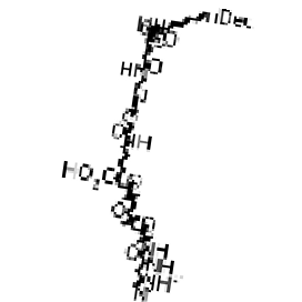 CCCCCCCCCCCCCCCC(=O)NS(=O)(=O)CCCC(=O)NCCOCCOCC(=O)NCCCC[C@H](CC(=O)C(C)(C)CC(=O)C(C)(C)CC(=O)C(C)(C)NC(=O)[C@@H](N)Cc1cnc[nH]1)C(=O)O